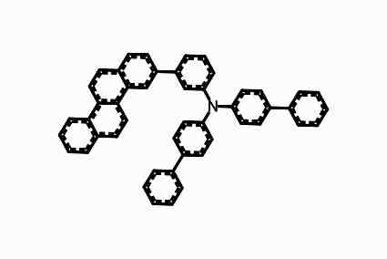 c1ccc(-c2ccc(N(c3ccc(-c4ccccc4)cc3)c3cccc(-c4ccc5ccc6c7ccccc7ccc6c5c4)c3)cc2)cc1